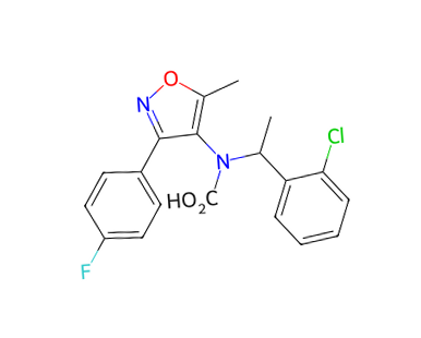 Cc1onc(-c2ccc(F)cc2)c1N(C(=O)O)C(C)c1ccccc1Cl